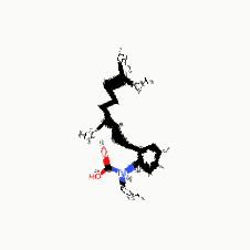 CC(C)=CCC/C(C)=C/Cc1ccccc1N(C)C(=O)O